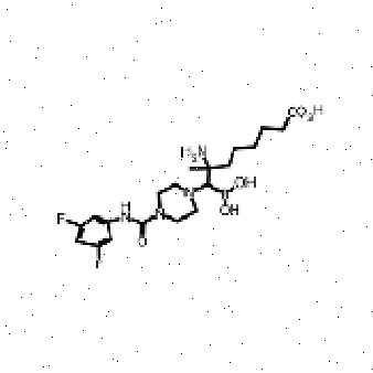 CC(N)(CCCCCC(=O)O)C(B(O)O)N1CCN(C(=O)Nc2cc(F)cc(F)c2)CC1